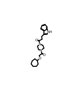 O=C(CCc1c[nH]c2ccccc12)N1CCN(C(=O)COC2CCCCCC2)CC1